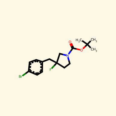 CC(C)(C)OC(=O)N1CCC(F)(Cc2ccc(Br)cc2)C1